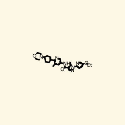 CCOc1ccc(-n2ncc(C(=O)Nc3cnc(C4=CCC(N5CCOCC5)CC4)c(C)c3)c2C)nc1